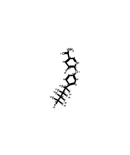 NC(=O)c1cnc(Oc2ccc(C(F)(F)C(F)(F)C(F)(F)C(F)(F)F)cc2)c(F)c1